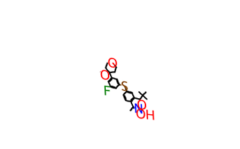 COC1(c2cc(F)cc(Sc3ccc(/C(C)=N/O)c(C(=O)C(C)(C)C)c3)c2)CCOCC1